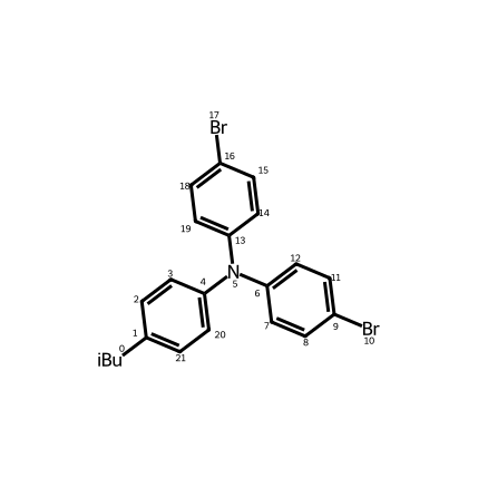 CCC(C)c1ccc(N(c2ccc(Br)cc2)c2ccc(Br)cc2)cc1